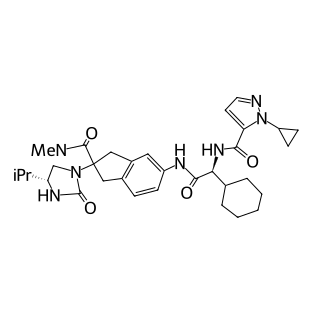 CNC(=O)C1(N2C[C@@H](C(C)C)NC2=O)Cc2ccc(NC(=O)[C@@H](NC(=O)c3ccnn3C3CC3)C3CCCCC3)cc2C1